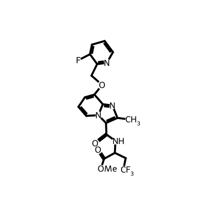 COC(=O)C(CC(F)(F)F)NC(=O)c1c(C)nc2c(OCc3ncccc3F)cccn12